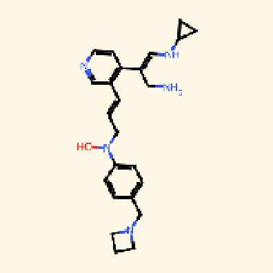 NC/C(=C\NC1CC1)c1ccncc1/C=C/CN(O)c1ccc(CN2CCC2)cc1